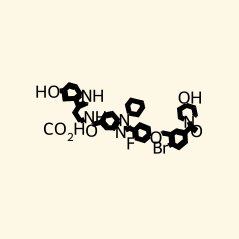 O=C(NC(Cc1c[nH]c2ccc(O)cc12)C(=O)O)c1ccc2c(c1)nc(-c1ccc(OCc3cc(C(=O)N4CCC(O)CC4)ccc3Br)cc1F)n2C1CCCCC1